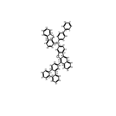 c1ccc(-c2ccc(N(c3ccc4c(c3)oc3c(-c5ccc6c7ccccc7c7ccccc7c6c5)c5ccccc5cc34)c3cccc4c3sc3ccccc34)cc2)cc1